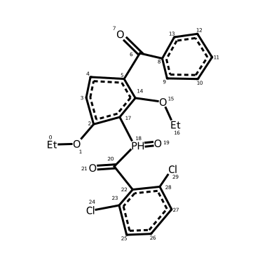 CCOc1ccc(C(=O)c2ccccc2)c(OCC)c1[PH](=O)C(=O)c1c(Cl)cccc1Cl